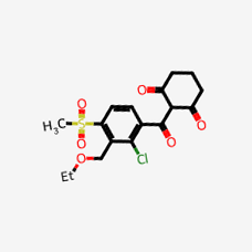 CCOCc1c(S(C)(=O)=O)ccc(C(=O)C2C(=O)CCCC2=O)c1Cl